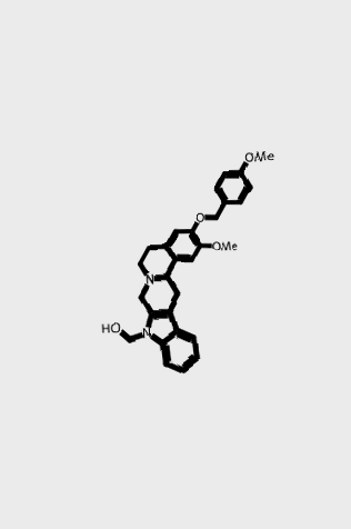 COc1ccc(COc2cc3c(cc2OC)C2Cc4c(n(CO)c5ccccc45)CN2CC3)cc1